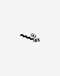 CCCCCCCC(N=C=S)[S+](C)[O-]